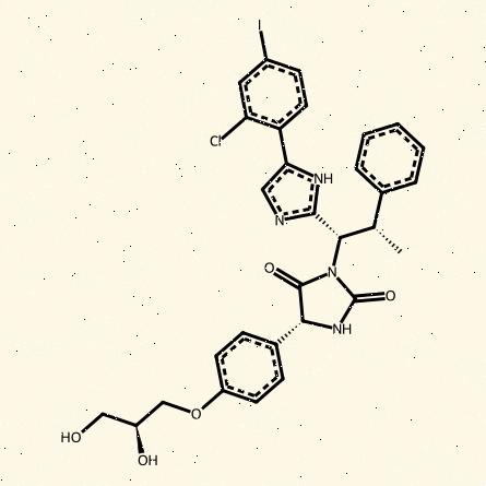 C[C@@H](c1ccccc1)[C@@H](c1ncc(-c2ccc(I)cc2Cl)[nH]1)N1C(=O)N[C@H](c2ccc(OC[C@@H](O)CO)cc2)C1=O